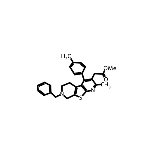 COC(=O)Cc1c(C)nc2sc3c(c2c1-c1ccc(C)cc1)CCN(Cc1ccccc1)C3